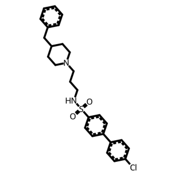 O=S(=O)(NCCCN1CCC(Cc2ccccc2)CC1)c1ccc(-c2ccc(Cl)cc2)cc1